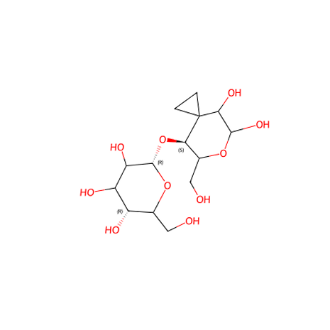 OCC1O[C@@H](O[C@@H]2C(CO)OC(O)C(O)C23CC3)C(O)C(O)[C@H]1O